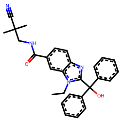 CCn1c(C(O)(c2ccccc2)c2ccccc2)nc2ccc(C(=O)NCC(C)(C)C#N)cc21